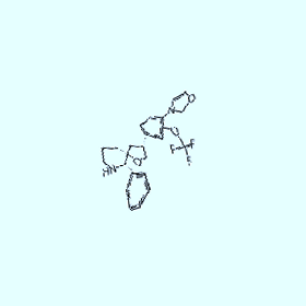 FC(F)(F)Oc1cc([C@@H]2CO[C@]3(CCCN[C@H]3c3ccccc3)C2)ccc1N1C=COC1